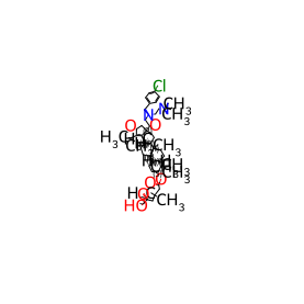 CC(C)C1=C2[C@H]3CC[C@@H]4[C@@]5(C)CC[C@H](OC(=O)CC(C)(C)CC(=O)O)C(C)(C)[C@@H]5CC[C@@]4(C)[C@]3(C)CC[C@@]2(C(=O)CN(CCN(C)C)Cc2ccc(Cl)cc2)CC1=O